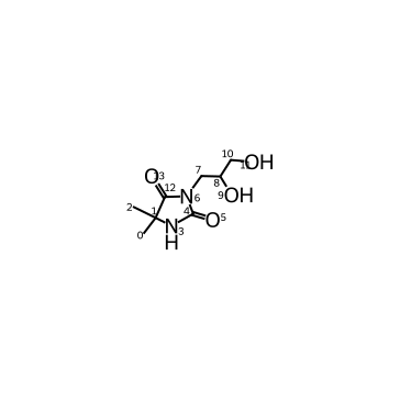 CC1(C)NC(=O)N(CC(O)CO)C1=O